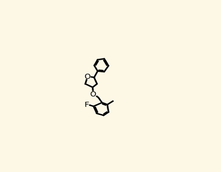 Cc1cccc(F)c1COC1COC(c2ccccc2)C1